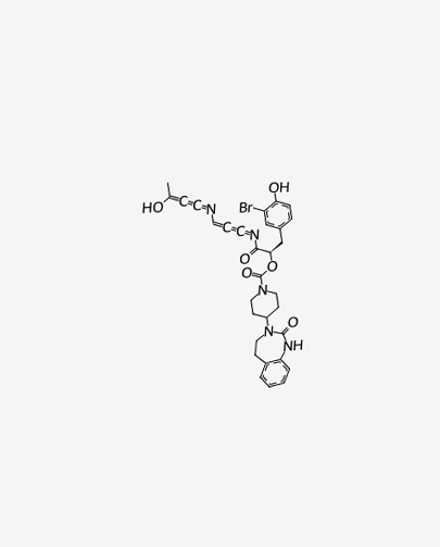 CC(O)=C=C=NC=C=C=NC(=O)[C@@H](Cc1ccc(O)c(Br)c1)OC(=O)N1CCC(N2CCc3ccccc3NC2=O)CC1